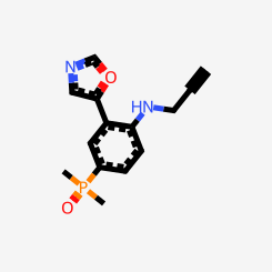 C#CCNc1ccc(P(C)(C)=O)cc1-c1cnco1